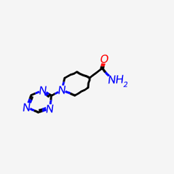 NC(=O)C1CCN(c2ncncn2)CC1